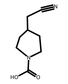 N#CCC1CCN(C(=O)O)CC1